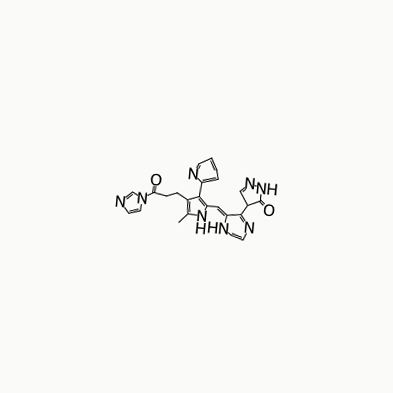 Cc1[nH]c(C=C2NC=CN=C2C2C=NNC2=O)c(-c2ccccn2)c1CCC(=O)n1ccnc1